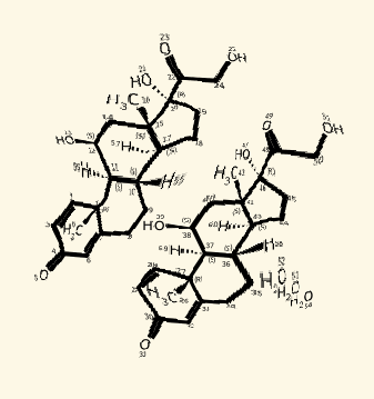 C[C@]12C=CC(=O)C=C1CC[C@@H]1[C@@H]2[C@@H](O)C[C@@]2(C)[C@H]1CC[C@]2(O)C(=O)CO.C[C@]12C=CC(=O)C=C1CC[C@@H]1[C@@H]2[C@@H](O)C[C@@]2(C)[C@H]1CC[C@]2(O)C(=O)CO.O.O.O